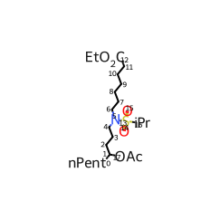 CCCCCC(CCCN(CCCCCCC(=O)OCC)S(=O)(=O)C(C)C)OC(C)=O